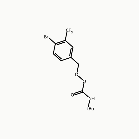 CC(C)(C)NC(=O)OOCc1ccc(Br)c(C(F)(F)F)c1